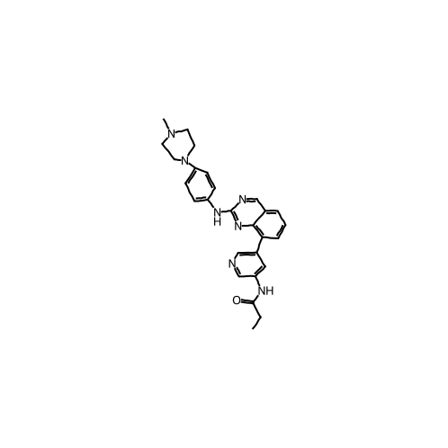 CCC(=O)Nc1cncc(-c2cccc3cnc(Nc4ccc(N5CCN(C)CC5)cc4)nc23)c1